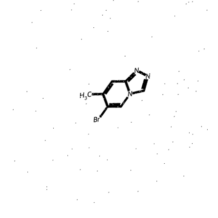 Cc1cc2nncn2cc1Br